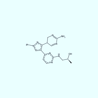 CC(C)n1cc(-c2ccnc(NC[C@H](C)O)n2)c(C2C=NC(N)=NC2)n1